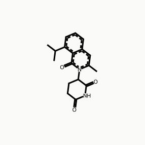 Cc1cc2cccc(C(C)C)c2c(=O)n1C1CCC(=O)NC1=O